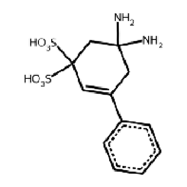 NC1(N)CC(c2ccccc2)=CC(S(=O)(=O)O)(S(=O)(=O)O)C1